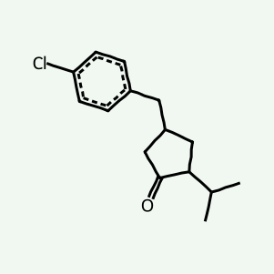 CC(C)C1CC(Cc2ccc(Cl)cc2)CC1=O